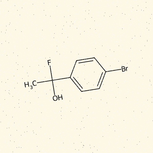 CC(O)(F)c1ccc(Br)cc1